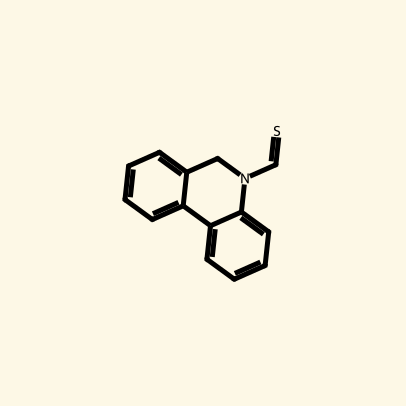 S=CN1Cc2ccccc2-c2ccccc21